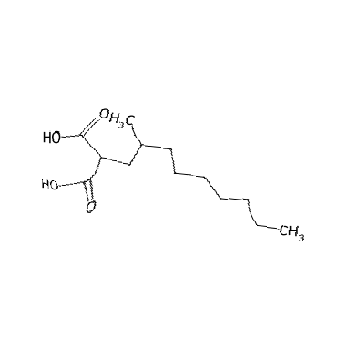 CCCCCCCC(C)CC(C(=O)O)C(=O)O